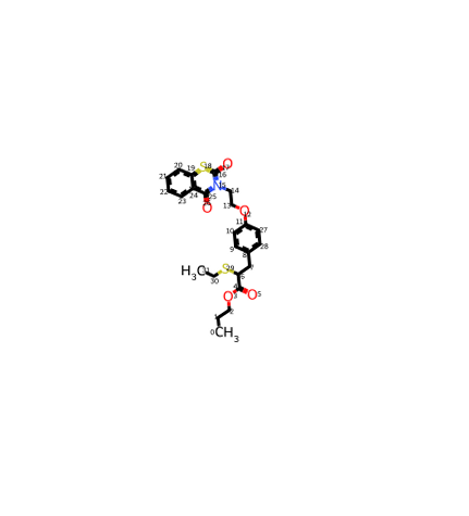 CCCOC(=O)C(Cc1ccc(OCCn2c(=O)sc3ccccc3c2=O)cc1)SCC